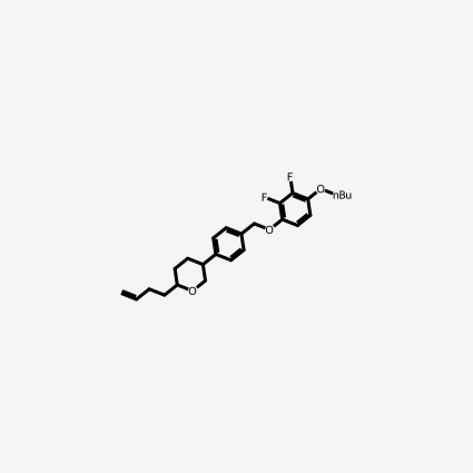 C=CCCC1CCC(c2ccc(COc3ccc(OCCCC)c(F)c3F)cc2)CO1